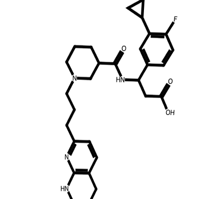 O=C(O)CC(NC(=O)C1CCCN(CCCc2ccc3c(n2)NCCC3)C1)c1ccc(F)c(C2CC2)c1